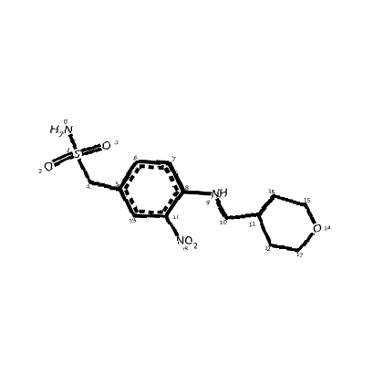 NS(=O)(=O)Cc1ccc(NCC2CCOCC2)c([N+](=O)[O-])c1